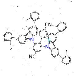 Cc1ccccc1-c1ccc2c(c1)c1cc(-c3ccccc3C)ccc1n2-c1cc(C#N)cc(-n2c3ccc(-c4ccccc4C)cc3c3cc(-c4ccccc4C)ccc32)c1-c1ccc(C#N)cc1F